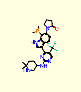 CP(C)c1c(N2CCCC2=O)ccc2c(-c3nc(NC4CCC(C)(C)NC4)ncc3C(F)(F)F)c[nH]c12